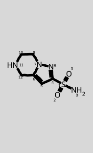 NS(=O)(=O)c1cc2n(n1)CCNC2